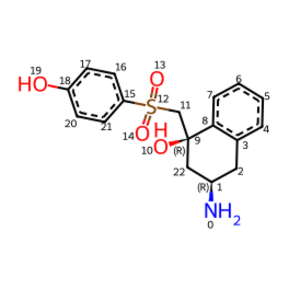 N[C@@H]1Cc2ccccc2[C@@](O)(CS(=O)(=O)c2ccc(O)cc2)C1